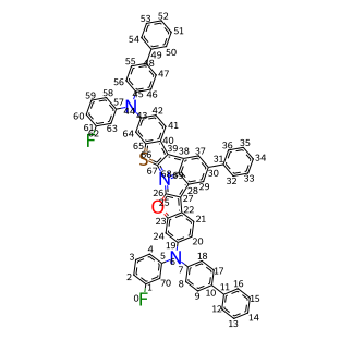 Fc1cccc(N(c2ccc(-c3ccccc3)cc2)c2ccc3c(c2)oc2c3c3cc(-c4ccccc4)cc4c5c6ccc(N(c7ccc(-c8ccccc8)cc7)c7cccc(F)c7)cc6sc5n2c34)c1